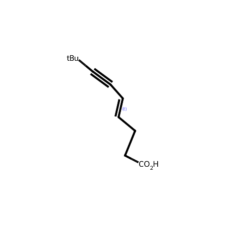 CC(C)(C)C#C/C=C/CCC(=O)O